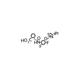 CC(C)c1csc(COc2cc(NC(=O)Cc3ccccc3C(=O)O)c(F)cc2F)n1